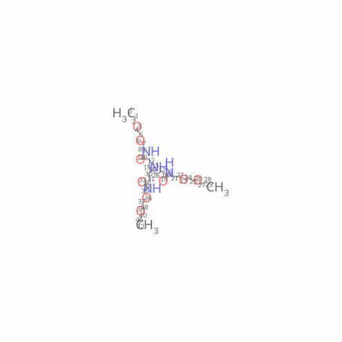 CCCOCCOCCNC(=O)CCC(N)(CCC(=O)NCCOCCOCCC)CCC(=O)NCOCCOCCC